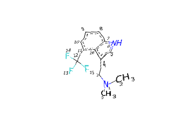 CN(C)Cc1c[nH]c2cccc(C(F)(F)F)c12